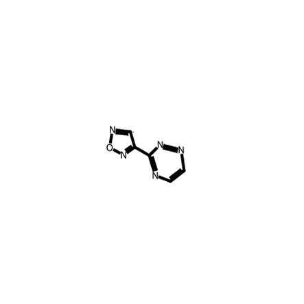 [c]1nonc1-c1nccnn1